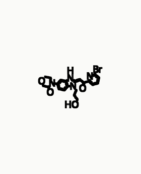 O=C(C=C1Nc2cc(N3CCOCC3=O)ccc2N1CCCO)c1cccc(Br)n1